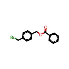 O=C(OCc1ccc(CBr)cc1)c1ccccc1